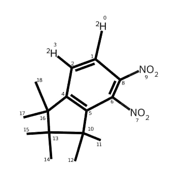 [2H]c1c([2H])c2c(c([N+](=O)[O-])c1[N+](=O)[O-])C(C)(C)C(C)(C)C2(C)C